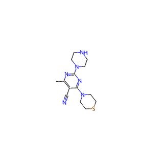 Cc1nc(N2CCNCC2)nc(N2CCSCC2)c1C#N